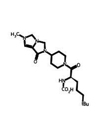 CN1C=C2C(=O)N(C3CCN(C(=O)[C@@H](CCCC(C)(C)C)NC(=O)O)CC3)CN2C1